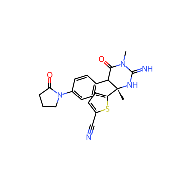 CN1C(=N)N[C@](C)(c2ccc(C#N)s2)C(c2ccc(N3CCCC3=O)cc2)C1=O